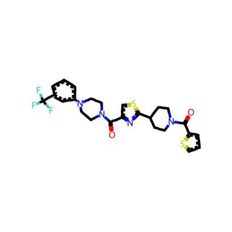 O=C(c1csc(C2CCN(C(=O)c3cccs3)CC2)n1)N1CCN(c2cccc(C(F)(F)F)c2)CC1